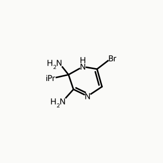 CC(C)C1(N)NC(Br)=CN=C1N